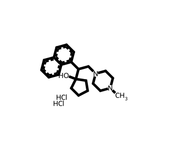 CN1CCN(CC(c2cccc3ccccc23)C2(O)CCCC2)CC1.Cl.Cl